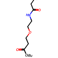 CC(C)COC(=O)CCOCCNC(=O)CC(C)C